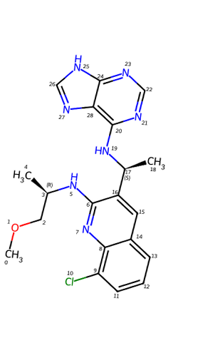 COC[C@@H](C)Nc1nc2c(Cl)cccc2cc1[C@H](C)Nc1ncnc2[nH]cnc12